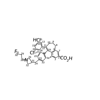 Cl.O=C(O)c1ccc2c(c1)CCCC(c1cccc(Cl)c1)=C2c1ccc(CC2CN(CCCF)C2)cc1